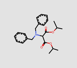 CC(C)OC(=O)C(C(=O)OC(C)C)N(Cc1ccccc1)Cc1ccccc1